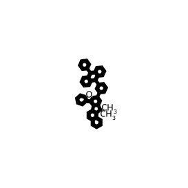 CC1(C)c2cc(-c3cccc(-c4c5ccccc5c(-c5ccccc5)c5ccccc45)c3)c3oc4ccccc4c3c2-c2ccc3ccccc3c21